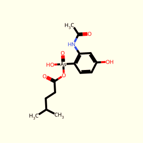 CC(=O)Nc1cc(O)ccc1[As](=O)(O)OC(=O)CCC(C)C